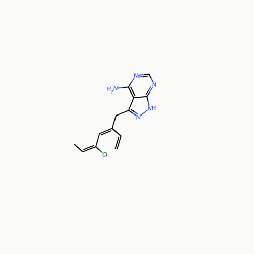 C=C/C(=C\C(Cl)=C/C)Cc1n[nH]c2ncnc(N)c12